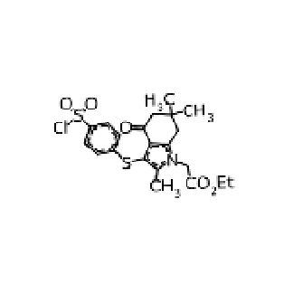 CCOC(=O)Cn1c(C)c(Sc2ccc(S(=O)(=O)Cl)cc2)c2c1CC(C)(C)CC2=O